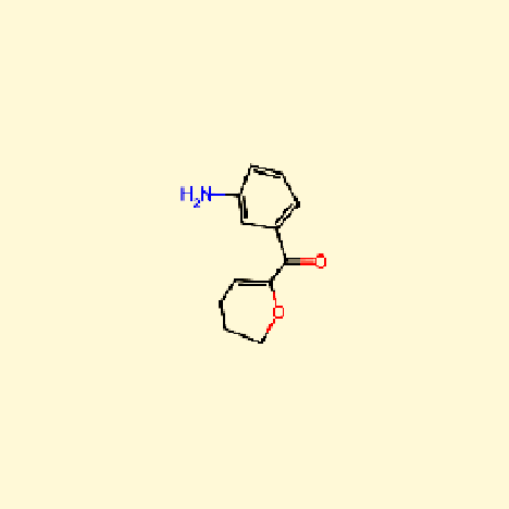 Nc1cccc(C(=O)C2=CCCCO2)c1